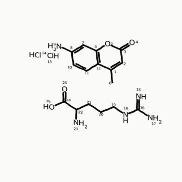 Cc1cc(=O)oc2cc(N)ccc12.Cl.Cl.N=C(N)NCCCC(N)C(=O)O